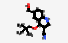 CC(C)(C)COc1c(C#N)cnc2ccc(C=O)cc12